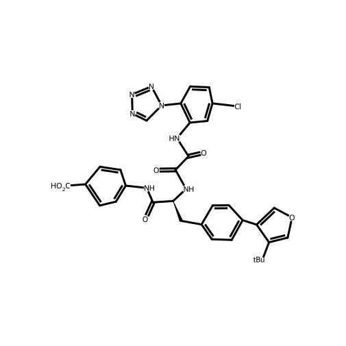 CC(C)(C)c1cocc1-c1ccc(C[C@H](NC(=O)C(=O)Nc2cc(Cl)ccc2-n2cnnn2)C(=O)Nc2ccc(C(=O)O)cc2)cc1